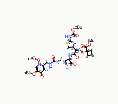 CCCCOc1cn(OCCCC)c(CNC(=O)NC[C@H]2NC(=O)[C@H]2NC(=O)/C(=N\OC2(C(=O)OC(C)(C)C)CCC2)C2CSC(NC(=O)OC(C)(C)C)=N2)cc1=O